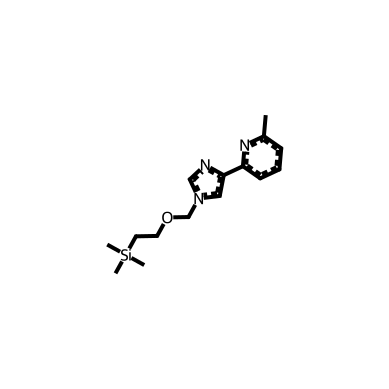 Cc1cccc(-c2cn(COCC[Si](C)(C)C)cn2)n1